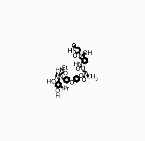 CCNC(=O)c1nnc(-c2cc(C(C)C)c(O)cc2O)n1-c1ccc(Oc2ccc(OC(=O)N(C)CCOC(=O)Nc3cccc4c3CN(C3CCC(=O)NC3=O)C4O)cc2)cc1